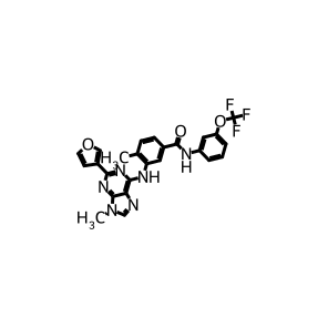 Cc1ccc(C(=O)Nc2cccc(OC(F)(F)F)c2)cc1Nc1nc(-c2ccoc2)nc2c1ncn2C